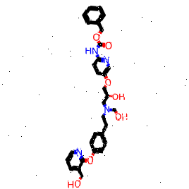 O=C(Nc1ccc(OC[C@@H](O)CN(CO)CCc2ccc(Oc3ncccc3CO)cc2)cn1)OCc1ccccc1